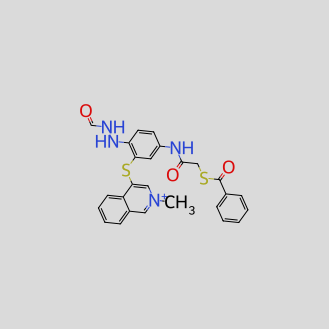 C[n+]1cc(Sc2cc(NC(=O)CSC(=O)c3ccccc3)ccc2NNC=O)c2ccccc2c1